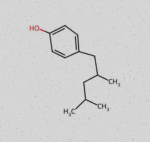 CC(C)CC(C)Cc1ccc(O)cc1